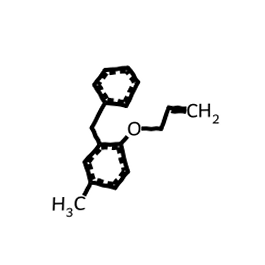 C=CCOc1ccc(C)cc1Cc1ccccc1